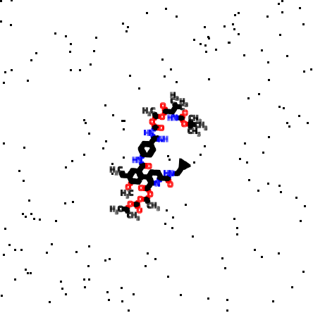 C=Cc1cc(C(=O)Nc2ccc(C(=N)NC(=O)OC(C)OC(=O)[C@@H](NC(=O)OC(C)(C)C)C(C)C)cc2)c(-c2ccc(C(=O)NCC3CC3)nc2C(=O)OC(C)OC(=O)OC(C)C)cc1OC